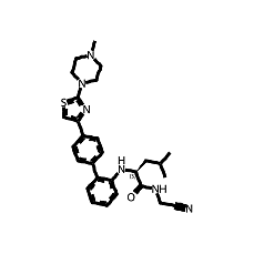 CC(C)C[C@H](Nc1ccccc1-c1ccc(-c2csc(N3CCN(C)CC3)n2)cc1)C(=O)NCC#N